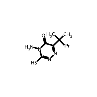 CC(C)C(C)(C)c1nnc(S)n(N)c1=O